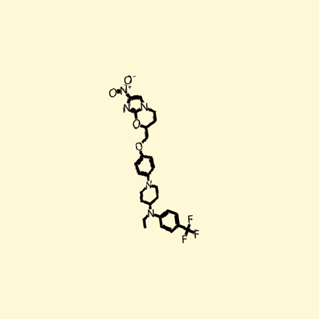 CCN(c1ccc(C(F)(F)F)cc1)C1CCN(c2ccc(OCC3CCn4cc([N+](=O)[O-])nc4O3)cc2)CC1